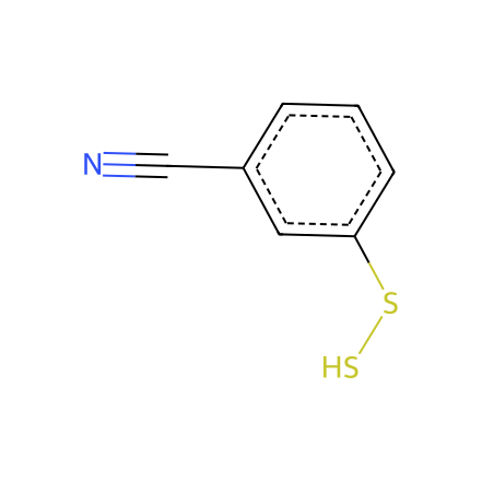 N#Cc1cccc(SS)c1